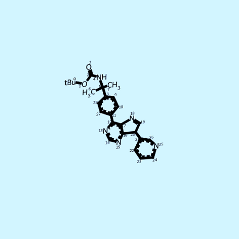 CC(C)(C)OC(=O)NC(C)(C)c1ccc(-c2ncnc3c2N=CC3c2cccnc2)cc1